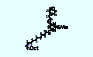 CCCCCCCC/C=C\CCCCCCCCSc1nc(OCCN2CCOCC2)nc(SC)n1